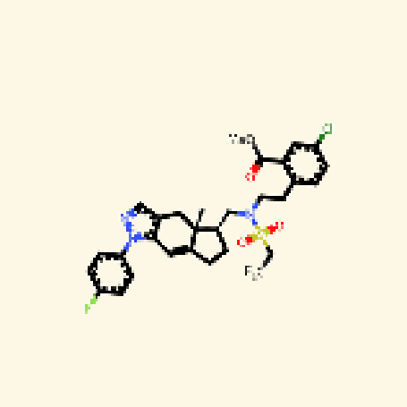 COC(=O)c1cc(Cl)ccc1CCN(C[C@H]1CCC2=Cc3c(cnn3-c3ccc(F)cc3)C[C@@]21C)S(=O)(=O)CC(F)(F)F